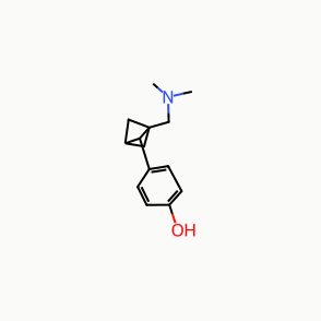 CN(C)CC12CC(C1)C2c1ccc(O)cc1